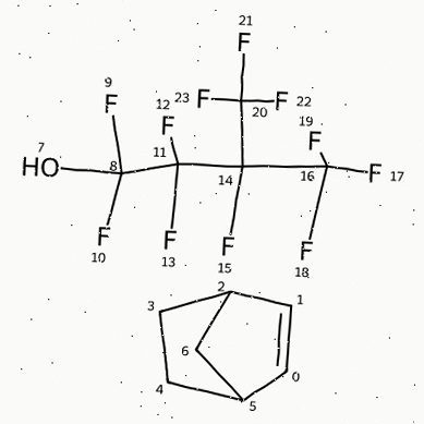 C1=CC2CCC1C2.OC(F)(F)C(F)(F)C(F)(C(F)(F)F)C(F)(F)F